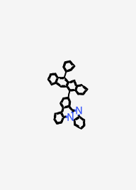 c1ccc(-c2c3ccccc3cc3c(-c4ccc5c6ccccc6n6c7ccccc7nc6c5c4)c4ccccc4cc23)cc1